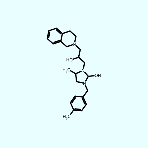 Cc1ccc(CN2CC(C)N(CC(O)CN3CCc4ccccc4C3)C2O)cc1